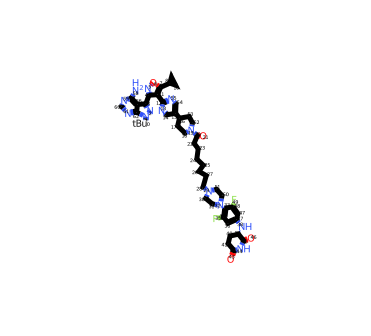 CC(C)(C)n1nc(-c2noc(C3CC3)c2-c2ncc(C3CCN(C(=O)CCCCCCCN4CCN(c5c(F)cc(N[C@H]6CCC(=O)NC6=O)cc5F)CC4)CC3)cn2)c2c(N)ncnc21